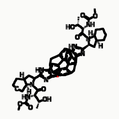 COC(=O)N[C@H](C(=O)N1C(c2nc3ccc(-c4cc5ccc4CCc4ccc(c(-c6ccc7[nH]c([C@@H]8C[C@@H]9CCCC[C@@H]9N8C(=O)[C@@H](NC(=O)OC)[C@@H](C)O)nc7c6)c4)CC5)cc3[nH]2)C[C@@H]2CCCC[C@@H]21)[C@@H](C)O